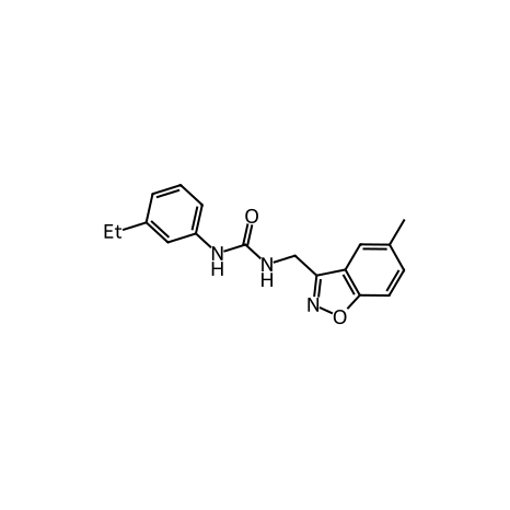 CCc1cccc(NC(=O)NCc2noc3ccc(C)cc23)c1